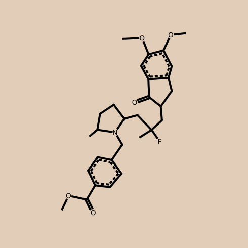 COC(=O)c1ccc(CN2C(C)CCC2CC(C)(F)CC2Cc3cc(OC)c(OC)cc3C2=O)cc1